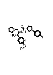 CC(C)Oc1ccc([C@@H](O)[C@@H](CN2CCCC2)NC(=O)[C@@H]2CCN(c3ccc(F)cc3)C2)cn1